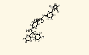 Cc1ccc(C2=C(C(=O)Nc3ccc(NC(=O)Cc4cccc(-n5c(C)ccc5C)n4)cc3)CCCC2)cc1